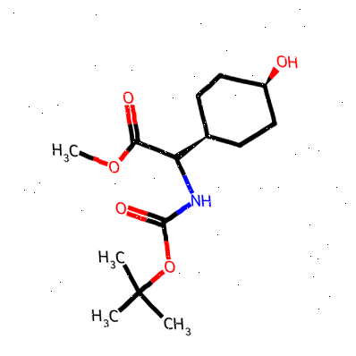 COC(=O)C(NC(=O)OC(C)(C)C)[C@H]1CC[C@@H](O)CC1